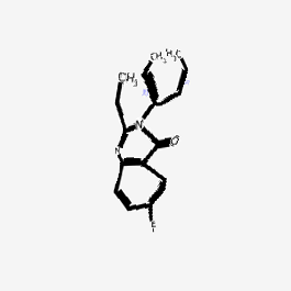 C/C=C\C(=C/C)n1c(CC)nc2ccc(F)cc2c1=O